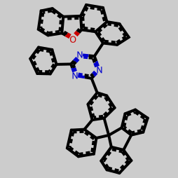 c1ccc(-c2nc(-c3ccc4c(c3)-c3ccccc3C43c4ccccc4-c4ccccc43)nc(-c3cccc4ccc5c6ccccc6oc5c34)n2)cc1